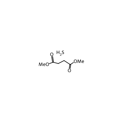 COC(=O)CCC(=O)OC.S